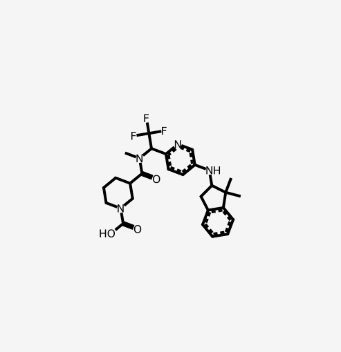 CN(C(=O)C1CCCN(C(=O)O)C1)C(c1ccc(NC2Cc3ccccc3C2(C)C)cn1)C(F)(F)F